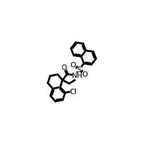 CCC1(C(=O)NS(=O)(=O)c2cccc3ccccc23)CCCc2cccc(Cl)c21